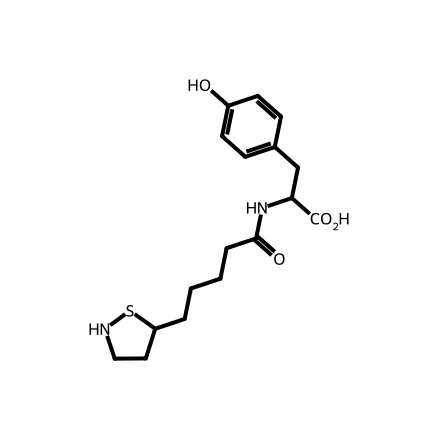 O=C(CCCCC1CCNS1)NC(Cc1ccc(O)cc1)C(=O)O